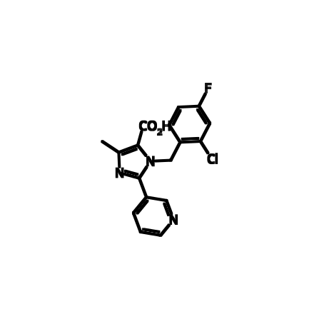 Cc1nc(-c2cccnc2)n(Cc2ccc(F)cc2Cl)c1C(=O)O